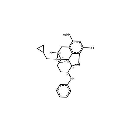 CC(=O)Nc1cc(O)c2c3c1C[C@@H]1[C@@H]4CC[C@H](Nc5ccccc5)[C@H](O2)[C@]34CCN1CC1CC1